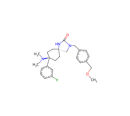 COCc1ccc(CN2C[C@]3(CC[C@](c4cccc(F)c4)(N(C)C)CC3)NC2=O)cc1